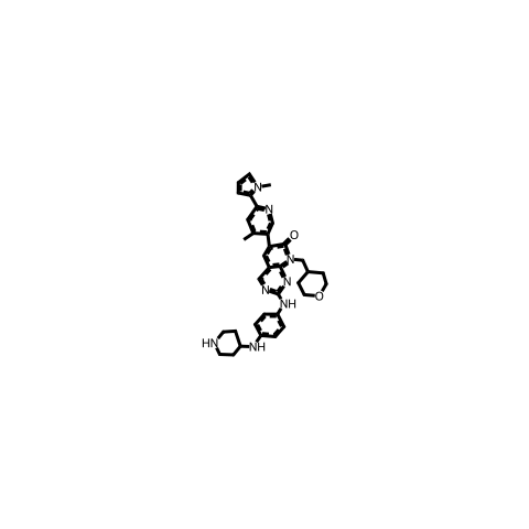 Cc1cc(-c2cccn2C)ncc1-c1cc2cnc(Nc3ccc(NC4CCNCC4)cc3)nc2n(CC2CCOCC2)c1=O